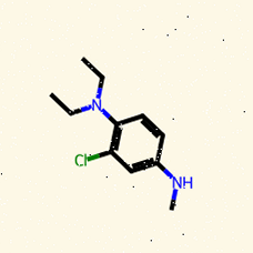 CCN(CC)c1ccc(NC)cc1Cl